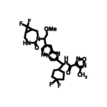 COCC(c1cnn2cc(C(NC(=O)c3nonc3C)C3CCC(F)(F)CC3)nc2c1)N1CC2C(CNC1=O)C2(F)F